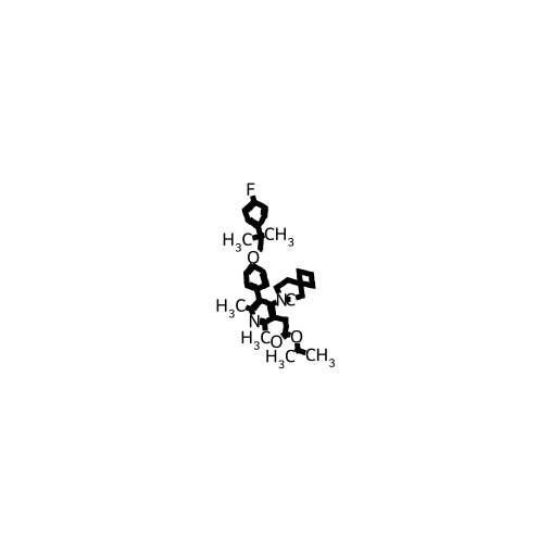 Cc1nc(C)c(-c2ccc(OCC(C)(C)c3ccc(F)cc3)cc2)c(N2CCC3(CCC3)CC2)c1CC(=O)OC(C)C